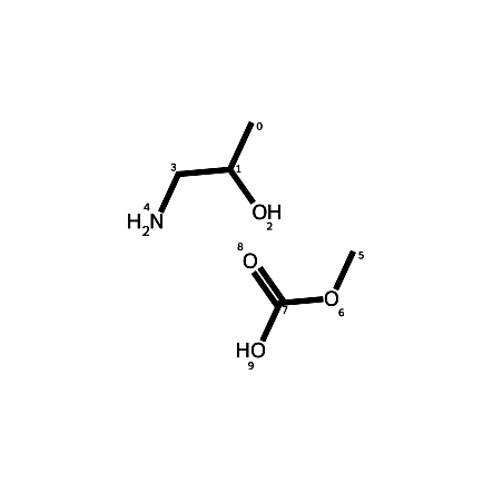 CC(O)CN.COC(=O)O